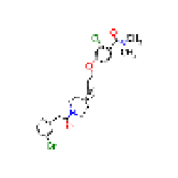 CN(C)C(=O)c1ccc(OCC[C@H]2CC23CCN(C(=O)Cc2cccc(Br)c2)CC3)cc1Cl